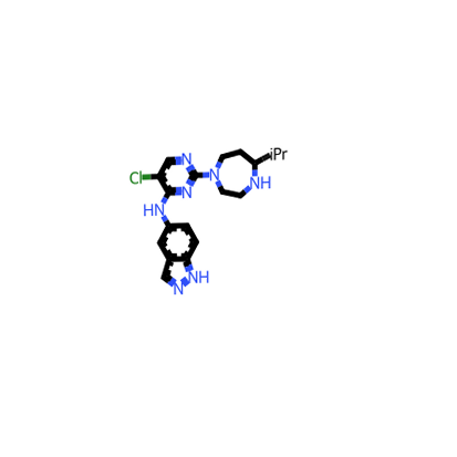 CC(C)C1CCN(c2ncc(Cl)c(Nc3ccc4[nH]ncc4c3)n2)CCN1